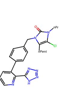 CCCCCc1c(Cl)n(CCC)c(=O)n1Cc1ccc(-c2cccnc2-c2nnn[nH]2)cc1